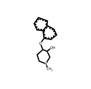 CN1CCC(Oc2cccc3ccccc23)C(O)C1